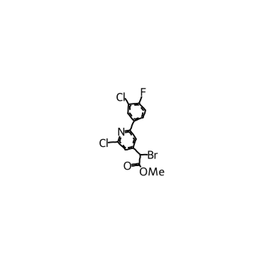 COC(=O)C(Br)c1cc(Cl)nc(-c2ccc(F)c(Cl)c2)c1